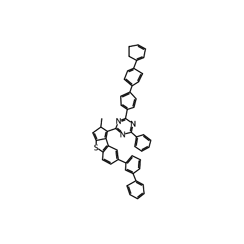 CC1C=c2sc3ccc(-c4cccc(-c5ccccc5)c4)cc3c2=C1c1nc(-c2ccccc2)nc(-c2ccc(-c3ccc(C4=CC=CCC4)cc3)cc2)n1